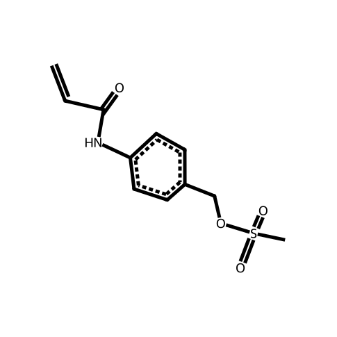 C=CC(=O)Nc1ccc(COS(C)(=O)=O)cc1